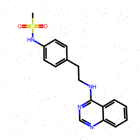 CS(=O)(=O)Nc1ccc(CCNc2ncnc3ccccc23)cc1